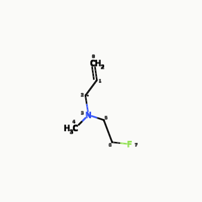 C=C[CH]N(C)CCF